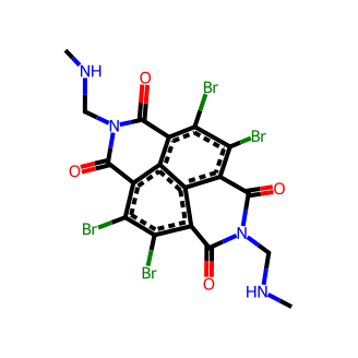 CNCN1C(=O)c2c(Br)c(Br)c3c4c(c(Br)c(Br)c(c24)C1=O)C(=O)N(CNC)C3=O